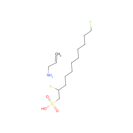 C=CCN.O=S(=O)(O)CC(F)CCCCCCCCCF